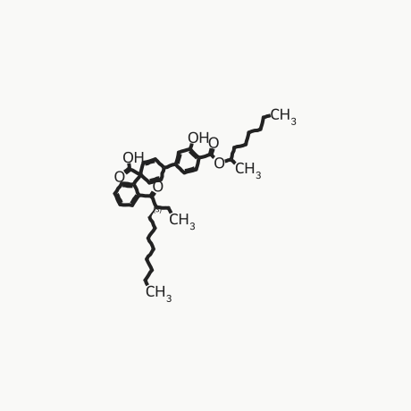 CCCCCCCC[C@H](CC)C(=O)c1ccccc1C1(C(=O)O)C=CC(c2ccc(C(=O)OC(C)CCCCCC)c(O)c2)C=C1